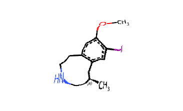 COc1cc2c(cc1I)[C@@H](C)CNCC2